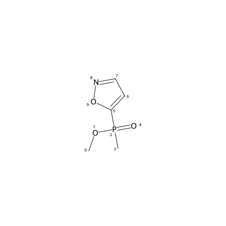 COP(C)(=O)c1ccno1